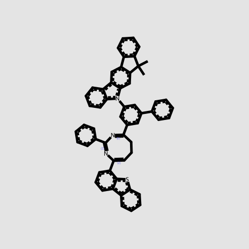 CC1(C)c2ccccc2-c2cc3c4ccccc4n(-c4cc(/C5=N/C(c6ccccc6)=N\C(c6cccc7c6sc6ccccc67)=C/CC5)cc(-c5ccccc5)c4)c3cc21